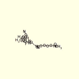 CC(=O)NCCOCCOCCOCCOCc1cn(CCCCCOc2ncc(-c3nc4c(N[C@H](C)c5cc(C#N)ccc5F)c(Cl)c(C)nc4cc3F)cn2)nn1